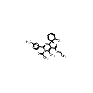 CCOC(=O)C1=C(C)N(C(C)=O)C(c2csc(C)n2)=NC1C1(F)C=CC=CC1Cl